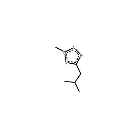 CC(C)Cc1nnn(C)n1